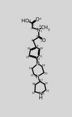 CN(CC(=O)O)C(=O)Cc1ccc(N2CCN(C3CCNCC3)CC2)cc1